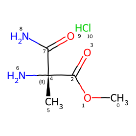 COC(=O)[C@](C)(N)C(N)=O.Cl